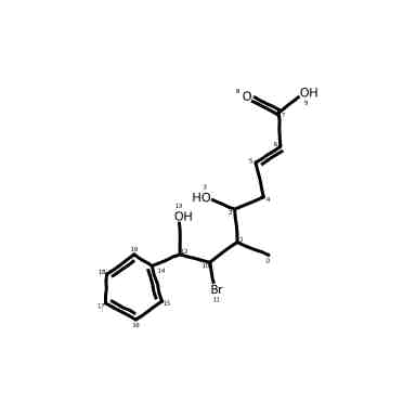 CC(C(O)C/C=C/C(=O)O)C(Br)C(O)c1ccccc1